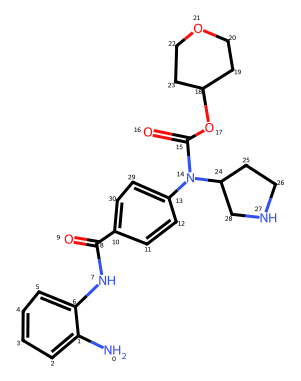 Nc1ccccc1NC(=O)c1ccc(N(C(=O)OC2CCOCC2)C2CCNC2)cc1